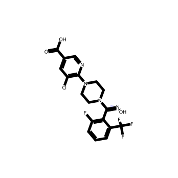 O=C(O)c1cnc(N2CCN(/C(=N/O)c3c(F)cccc3C(F)(F)F)CC2)c(Cl)c1